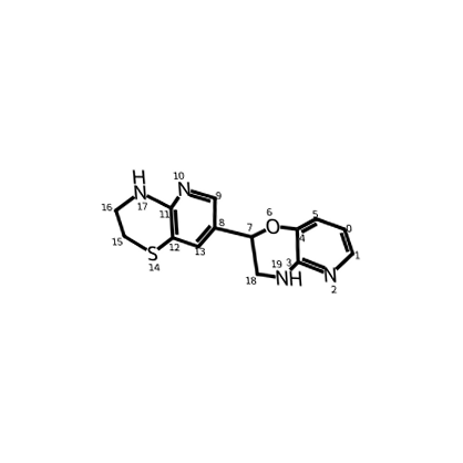 c1cnc2c(c1)OC(c1cnc3c(c1)SCCN3)CN2